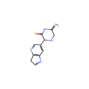 C=C1CNC(c2cnc3c(c2)N=CC3)C(=O)N1